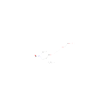 CCC(=O)N(CC(C)=O)C[C@H](COCCOCCO)NC